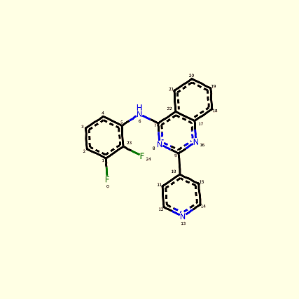 Fc1cccc(Nc2nc(-c3ccncc3)nc3ccccc23)c1F